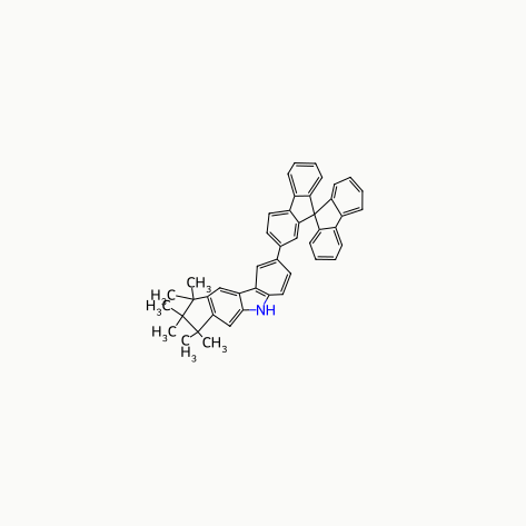 CC1(C)c2cc3[nH]c4ccc(-c5ccc6c(c5)C5(c7ccccc7-c7ccccc75)c5ccccc5-6)cc4c3cc2C(C)(C)C1(C)C